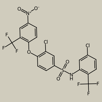 O=[N+]([O-])c1ccc(Oc2ccc(S(=O)(=O)Nc3cc(Cl)ccc3C(F)(F)F)cc2Cl)c(C(F)(F)F)c1